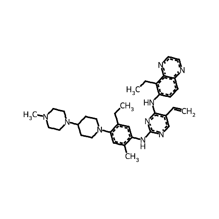 C=Cc1cnc(Nc2cc(CC)c(N3CCC(N4CCN(C)CC4)CC3)cc2C)nc1Nc1ccc2nccnc2c1CC